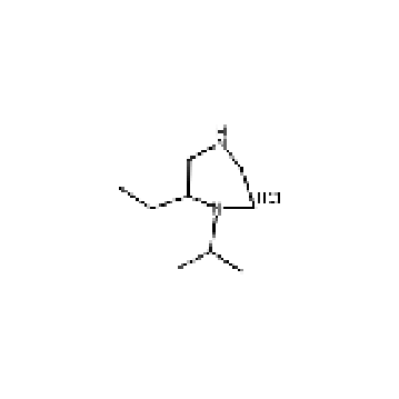 CCC1CNCCN1C(C)C.Cl